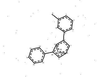 Cc1cccc(-c2cc3cc(-c4ccccc4)c2o3)c1